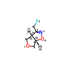 FCC1=NO[C@@H]2COC[C@H]12